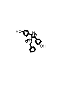 O=CN(CCc1ccccc1)c1c(-c2ccc(O)cc2)noc1-c1ccc(O)cc1